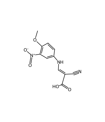 COc1ccc(N/C=C(\C#N)C(=O)O)cc1[N+](=O)[O-]